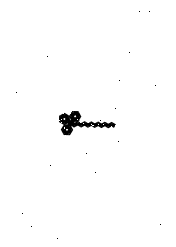 CCCCCCCCCCCCC[N+](c1ccccc1)(c1ccccc1)c1ccccc1